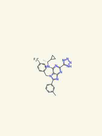 Cc1cccc(-c2nc3nc(-c4nnn[nH]4)nc(N[C@H](C)C4CC4)c3n2Cc2ccc(C(F)(F)F)cc2)c1